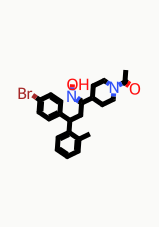 CC(=O)N1CCC(C(CC(c2ccc(Br)cc2)c2ccccc2C)=NO)CC1